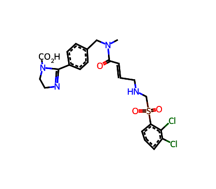 CN(Cc1ccc(C2=NCCN2C(=O)O)cc1)C(=O)C=CCNCS(=O)(=O)c1cccc(Cl)c1Cl